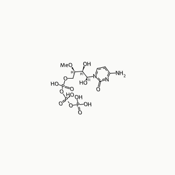 CO[C@H](COP(=O)(O)OP(=O)(O)OP(=O)(O)O)[C@@H](O)[C@H](O)n1ccc(N)nc1=O